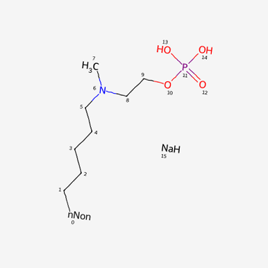 CCCCCCCCCCCCCCN(C)CCOP(=O)(O)O.[NaH]